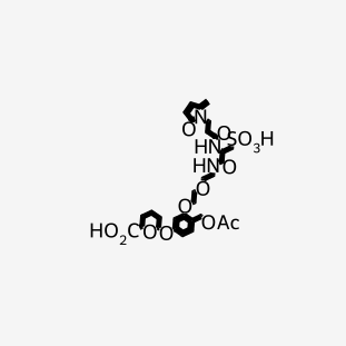 C=C1C=CC(=O)N1CCC(=O)NC(CS(=O)(=O)O)C(=O)NCCOCCOc1cc(OC2CCCC(C(=O)O)O2)ccc1COC(C)=O